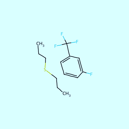 CCCSCCC.Fc1cccc(C(F)(F)F)c1